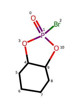 O=P1(Br)OC2CCCCC2O1